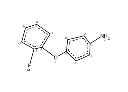 Nc1[c]cc(Oc2ccccc2F)cc1